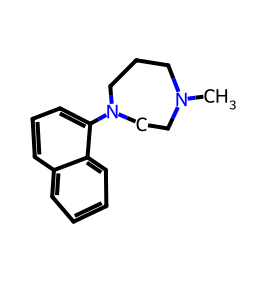 CN1CCCN(c2cccc3ccccc23)CC1